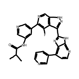 CC(C)C(=O)Nc1cncc(-c2ncc3[nH]nc(-c4nc5c(-c6cccnc6)ccnc5[nH]4)c3c2F)c1